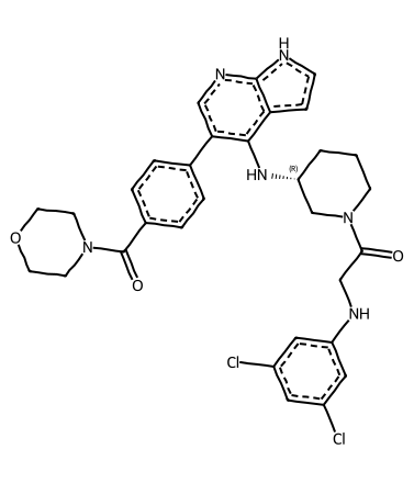 O=C(CNc1cc(Cl)cc(Cl)c1)N1CCC[C@@H](Nc2c(-c3ccc(C(=O)N4CCOCC4)cc3)cnc3[nH]ccc23)C1